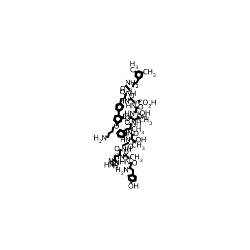 CCc1cc(OCCCCN)ccc1-c1ccc(C[C@H](NC(=O)[C@H](CC(=O)O)NC(=O)[C@H](CO)NC(=O)[C@@H](NC(=O)[C@](C)(Cc2ccccc2F)NC(=O)[C@@H](NC(=O)CNC(=O)[C@H](Cc2nn[nH]n2)NC(=O)[C@H](C)NC(=O)[C@@H](N)Cc2ccc(O)cc2)[C@@H](C)O)[C@@H](C)O)C(=O)N[C@@H](CCCc2cc(C)cc(C)c2)C(N)=O)cc1